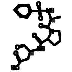 C[C@H](NS(=O)(=O)c1ccccc1)C(=O)N1CCCC1C(=O)N[C@H](C=O)CC(=O)O